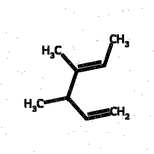 C=C[C](C)C(C)=CC